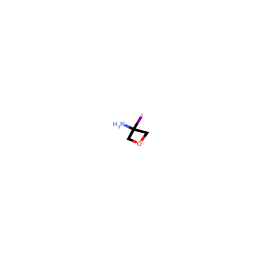 NC1(I)COC1